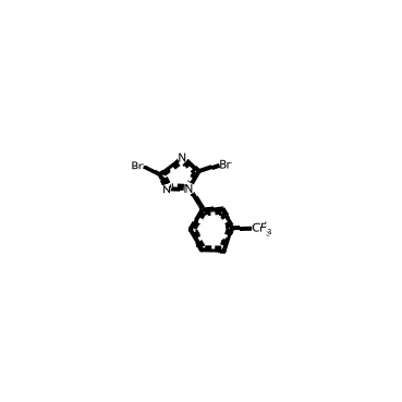 FC(F)(F)c1cccc(-n2nc(Br)nc2Br)c1